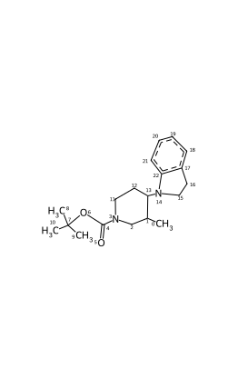 CC1CN(C(=O)OC(C)(C)C)CCC1N1CCc2ccccc21